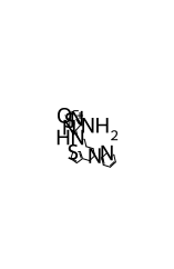 Nc1n[s+]([O-])nc1NCCCN(Cc1ccsc1)c1ccccn1